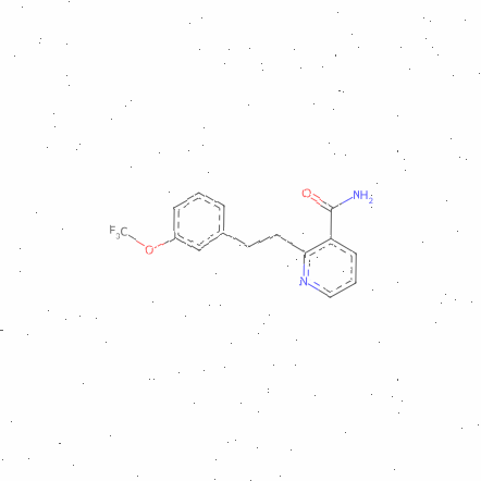 NC(=O)c1cccnc1CCc1cccc(OC(F)(F)F)c1